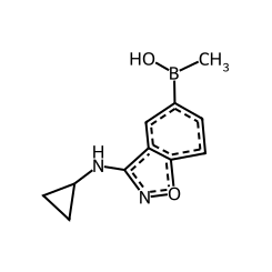 CB(O)c1ccc2onc(NC3CC3)c2c1